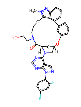 Cn1nc2cccc3c2c1CCCN(CCO)C(=O)[C@@H]1C[C@@H](CN1c1ncnc2c1cnn2-c1ccc(F)cc1F)Oc1cccc-3c1